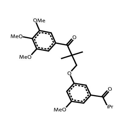 COc1cc(OCC(C)(C)C(=O)c2cc(OC)c(OC)c(OC)c2)cc(C(=O)C(C)C)c1